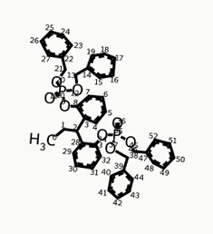 CCC(c1ccccc1OP(=O)(OCc1ccccc1)OCc1ccccc1)c1ccccc1OP(=O)(OCc1ccccc1)OCc1ccccc1